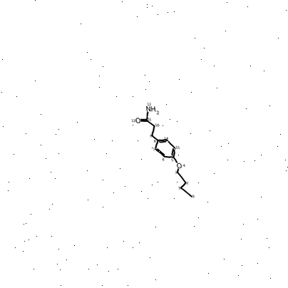 CCCCOc1ccc(CCC(N)=O)cc1